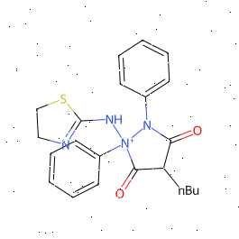 CCCCC1C(=O)N(c2ccccc2)[N+](NC2=NCCS2)(c2ccccc2)C1=O